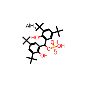 CC(C)(C)c1cc(C(OP(=O)(O)O)c2cc(C(C)(C)C)cc(C(C)(C)C)c2O)c(O)c(C(C)(C)C)c1.[AlH3]